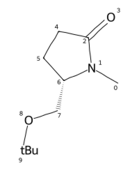 CN1C(=O)CC[C@H]1COC(C)(C)C